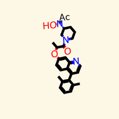 CC(=O)N(O)[C@H]1CCCN(C(=O)C(C)Oc2ccc3c(-c4c(C)cccc4C)ccnc3c2)C1